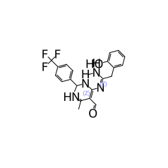 CN/C(Cc1ccccc1O)=N\C(NC(C)c1ccc(C(F)(F)F)cc1)=C(/C=O)C(C)=N